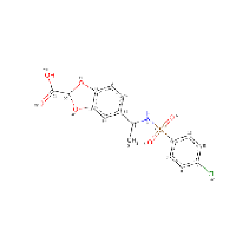 CC(NS(=O)(=O)c1ccc(Cl)cc1)c1ccc2c(c1)OC(C(=O)O)O2